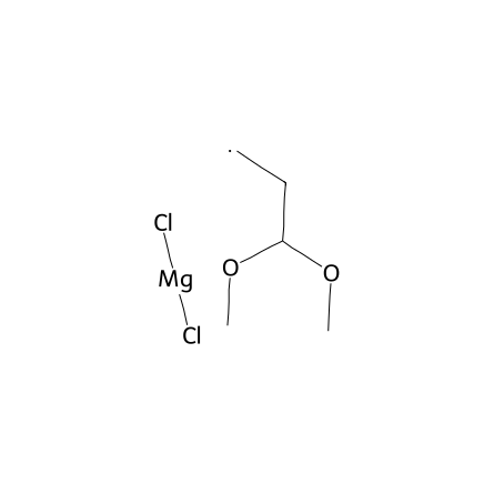 [CH2]CC(OC)OC.[Cl][Mg][Cl]